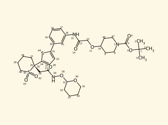 CC(C)(C)OC(=O)N1CCC(OCC(=O)Nc2cccc(-c3ccc([C@@]4(CC(=O)NOC5CCCCO5)CCCCS4(=O)=O)s3)c2)CC1